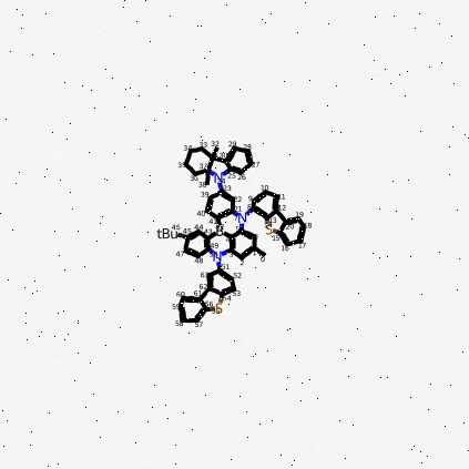 Cc1cc2c3c(c1)N(c1cccc4c1sc1ccccc14)c1cc(N4c5ccccc5C5(C)CCCCC45C)ccc1B3c1cc(C(C)(C)C)ccc1N2c1ccc2sc3ccccc3c2c1